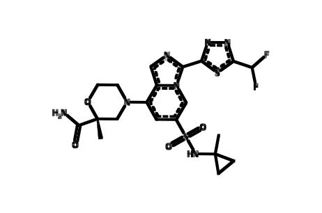 CC1(NS(=O)(=O)c2cc(N3CCO[C@@](C)(C(N)=O)C3)c3cnc(-c4nnc(C(F)F)s4)n3c2)CC1